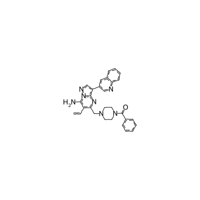 C=Cc1c(CN2CCN(C(=O)c3ccccc3)CC2)nc2c(-c3cnc4ccccc4c3)cnn2c1N